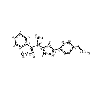 C=Cc1ccc(-c2nnc(N(CCCC)C(=O)c3ccccc3OC)s2)cc1